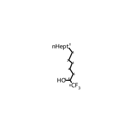 CCCCCCCCCCCCC(O)C(F)(F)F